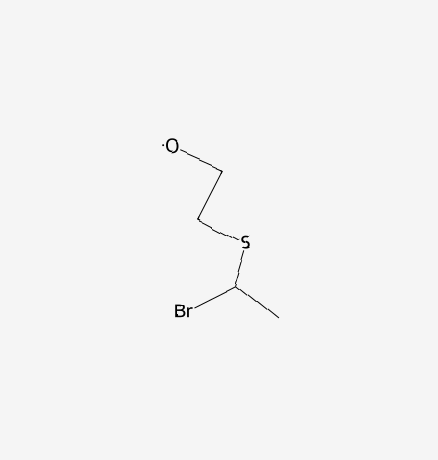 CC(Br)SCC[O]